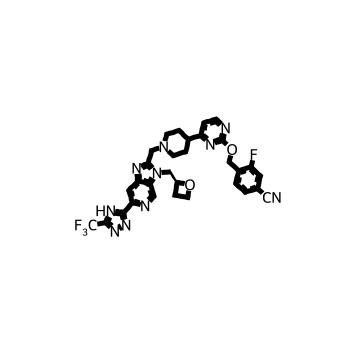 N#Cc1ccc(COc2nccc(C3CCN(Cc4nc5cc(-c6nnc(C(F)(F)F)[nH]6)ncc5n4C[C@@H]4CCO4)CC3)n2)c(F)c1